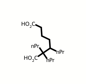 CCCC(CCCC(=O)O)C(CCC)(CCC)C(=O)O